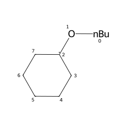 CCCCO[C]1CCCCC1